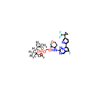 CC(C)(C)OP(=O)(OCO[C@@H]1COCC[C@H]1Nc1ncc2c(F)cc(-c3ccc(C4(C(F)F)CC4)cn3)n2n1)OC(C)(C)C